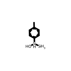 Cc1ccc([SiH](O)[SiH3])cc1